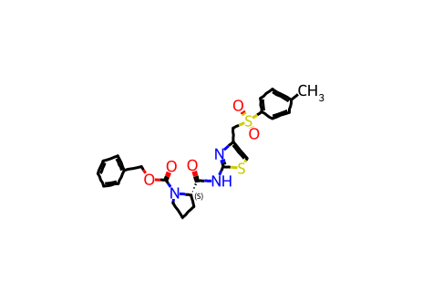 Cc1ccc(S(=O)(=O)Cc2csc(NC(=O)[C@@H]3CCCN3C(=O)OCc3ccccc3)n2)cc1